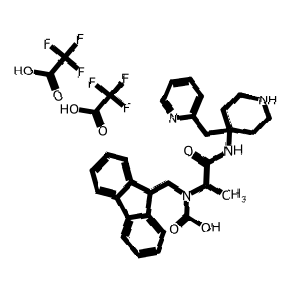 CC(C(=O)NC1(Cc2ccccn2)CCNCC1)N(CC1c2ccccc2-c2ccccc21)C(=O)O.O=C(O)C(F)(F)F.O=C(O)C(F)(F)F